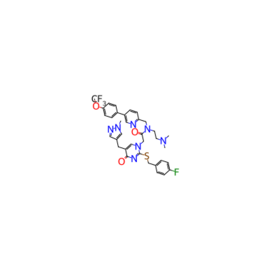 CN(C)CCN(Cc1ccc(-c2ccc(OC(F)(F)F)cc2)cn1)C(=O)Cn1cc(Cc2cnn(C)c2)c(=O)nc1SCc1ccc(F)cc1